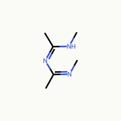 C/N=C(C)\N=C(\C)NC